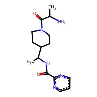 CC(N)C(=O)N1CCC(C(C)NC(=O)c2ncccn2)CC1